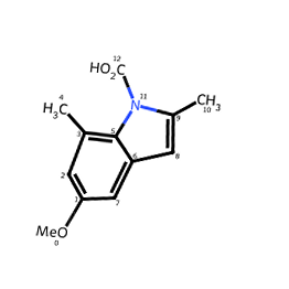 COc1cc(C)c2c(c1)cc(C)n2C(=O)O